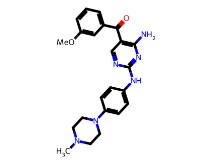 COc1cccc(C(=O)c2cnc(Nc3ccc(N4CCN(C)CC4)cc3)nc2N)c1